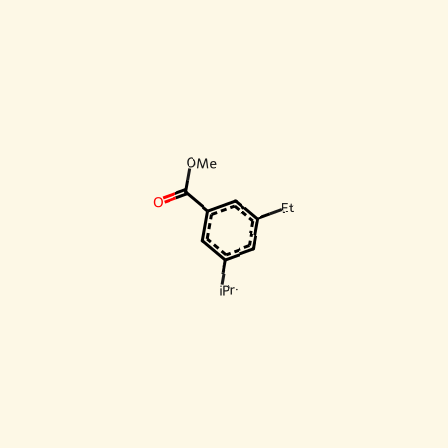 CCc1cc([C](C)C)cc(C(=O)OC)c1